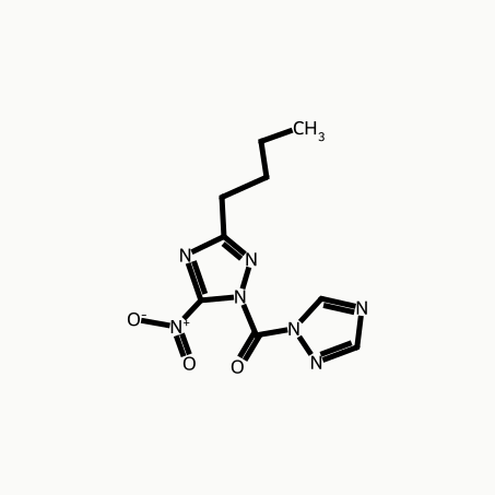 CCCCc1nc([N+](=O)[O-])n(C(=O)n2cncn2)n1